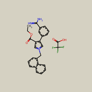 CCOC(=O)c1cn(Cc2cccc3ccccc23)cc1-c1cccc(C(=N)N)c1.O=C(O)C(F)(F)F